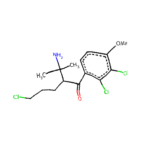 COc1ccc(C(=O)C(CCCCl)C(C)(C)N)c(Cl)c1Cl